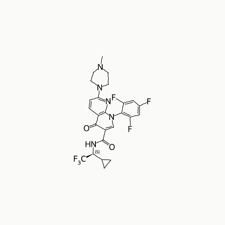 CN1CCN(c2ccc3c(=O)c(C(=O)N[C@@H](C4CC4)C(F)(F)F)cn(-c4c(F)cc(F)cc4F)c3n2)CC1